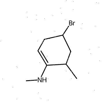 CNC1=CCC(Br)CC1C